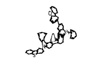 c1ccc(-n2c3ccc(-c4ccc5oc6ccccc6c5c4)cc3c3c4oc5c(ccc6c5c5ccccc5n6-c5ccc6sc7ccccc7c6c5)c4ccc32)cc1